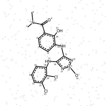 CN(C)C(=O)c1cccc(Nc2n[s+]([O-])nc2Nc2cccc(Cl)c2Cl)c1O